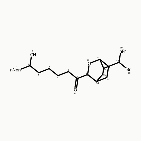 [CH2]CCCCCCCCC(C#N)CCCCC(=O)[C]1OC2CCC1CC2C(Br)CCC